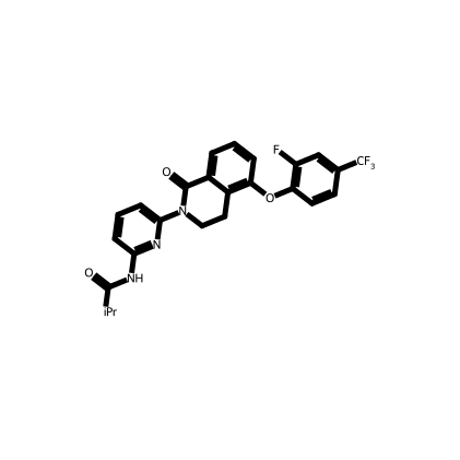 CC(C)C(=O)Nc1cccc(N2CCc3c(Oc4ccc(C(F)(F)F)cc4F)cccc3C2=O)n1